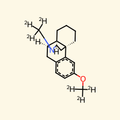 [2H]C([2H])([2H])Oc1ccc2c(c1)[C@]13CCCC[C@@H]1[C@H](C2)N(C([2H])([2H])[2H])CC3